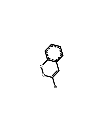 BrC1=Cc2ccccc2OO1